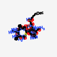 CCCCCCCCCCCCCCCC(=O)NS(=O)(=O)CCCC(=O)NCC(=O)N[C@@H](CO)C(=O)N[C@H](CCC(N)=O)C(=O)N[C@@H](Cc1c[nH]cn1)C(=O)N[C@@H](CN)C(=O)N[C@@H](CCCC)C(=O)N[C@H]1CSSC[C@@H](C(N)=O)NC(=O)[C@H](Cc2c[nH]c3ccccc23)NC(=O)[C@H](CCCNC(=N)N)NC(=O)[C@@H](Cc2ccccc2)NC(=O)[C@@H]2C[C@@H](O)CN2C1=O